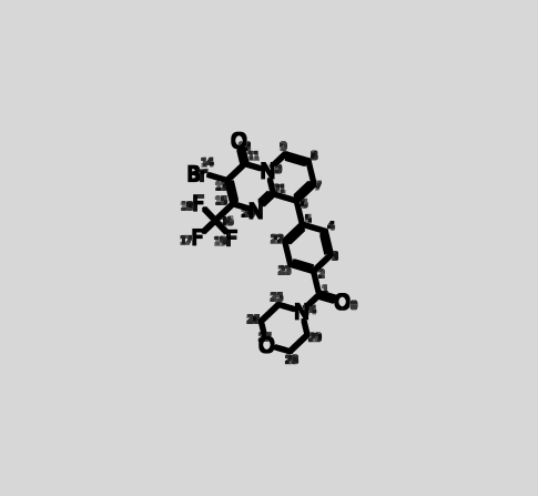 O=C(c1ccc(-c2cccn3c(=O)c(Br)c(C(F)(F)F)nc23)cc1)N1CCOCC1